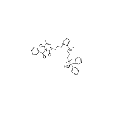 Cc1cn(CCC[C@H]2C=CC=C2[C@@H](C)CCCC(C)(C)[Si](O)(c2ccccc2)c2ccccc2)c(=O)n(C(=O)c2ccccc2)c1=O